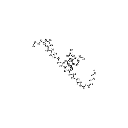 CCCCC/C=C\C/C=C\CCCCCCCCC(CCCCCCCC/C=C\C/C=C\CCCCC)N(CCCN(C)C)C(=O)C(CC)CCCCC